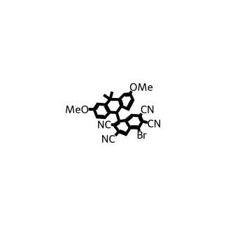 COc1ccc2c(c1)C(C)(C)c1cc(OC)ccc1C2c1c(C#N)c(C#N)cc2c(Br)c(C#N)c(C#N)cc12